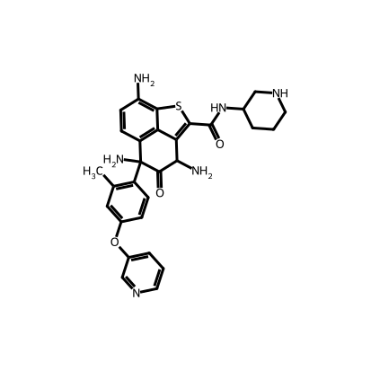 Cc1cc(Oc2cccnc2)ccc1C1(N)C(=O)C(N)c2c(C(=O)NC3CCCNC3)sc3c(N)ccc1c23